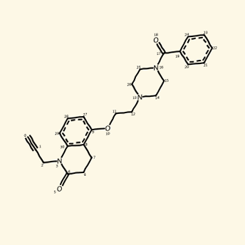 C#CCN1C(=O)CCc2c(OCCN3CCN(C(=O)c4ccccc4)CC3)cccc21